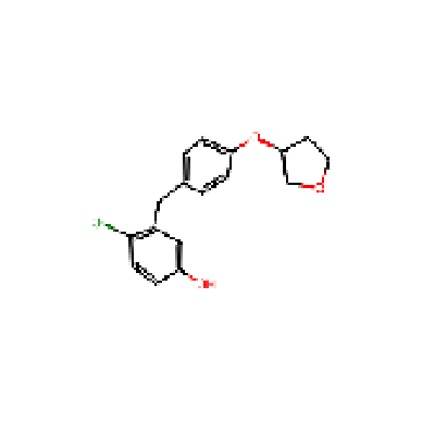 Oc1ccc(Cl)c(Cc2ccc(O[C@H]3CCOC3)cc2)c1